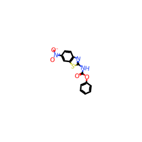 O=C(Nc1nc2ccc([N+](=O)[O-])cc2s1)Oc1ccccc1